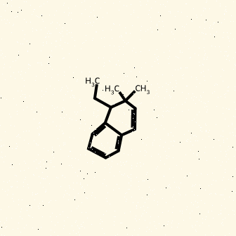 CCC1c2ccccc2C=CC1(C)C